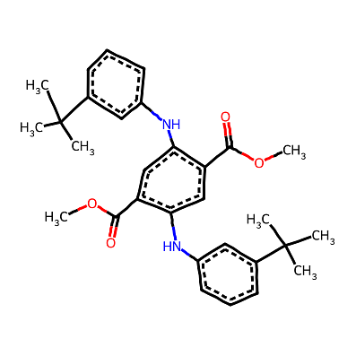 COC(=O)c1cc(Nc2cccc(C(C)(C)C)c2)c(C(=O)OC)cc1Nc1cccc(C(C)(C)C)c1